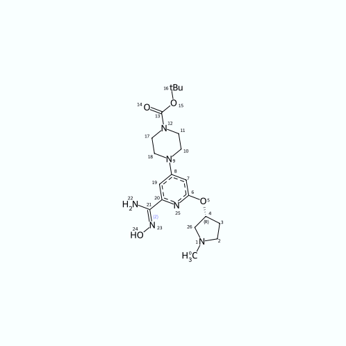 CN1CC[C@@H](Oc2cc(N3CCN(C(=O)OC(C)(C)C)CC3)cc(/C(N)=N/O)n2)C1